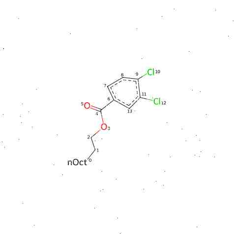 CCCCCCCCCCOC(=O)c1ccc(Cl)c(Cl)c1